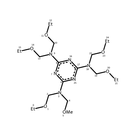 CCOCN(COC)c1nc(N(COCC)COCC)nc(N(COCC)COCC)n1